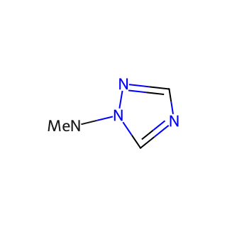 CNn1cncn1